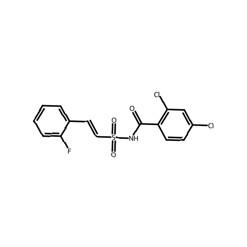 O=C(NS(=O)(=O)C=Cc1ccccc1F)c1ccc(Cl)cc1Cl